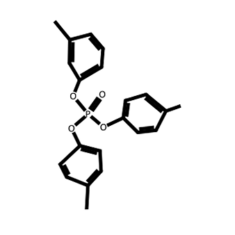 Cc1ccc(OP(=O)(Oc2ccc(C)cc2)Oc2cccc(C)c2)cc1